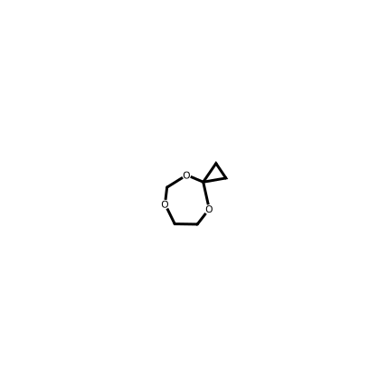 C1COC2(CC2)OCO1